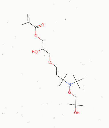 C=C(C)C(=O)OCC(O)COCCC(C)(C)N(OCC(C)(C)O)C(C)(C)C